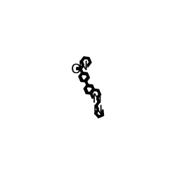 O=C(c1ccc(-c2ccc3c(c2)CCN(CCN2CCCC2)C3)cc1)N1CCCCC1